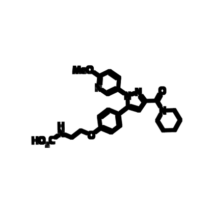 COc1ccc(-n2nc(C(=O)N3CCCCC3)cc2-c2ccc(OCCNC(=O)O)cc2)cn1